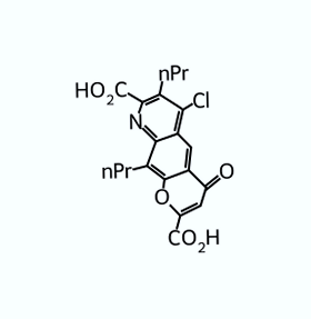 CCCc1c(C(=O)O)nc2c(CCC)c3oc(C(=O)O)cc(=O)c3cc2c1Cl